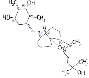 C=C1/C(=C\C=C2/CCCC3(C)[C@@H]([C@H](C)CCCC(C)(C)O)CC[C@@H]23)C[C@@H](O)C(=C)[C@@H]1O